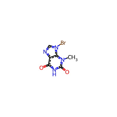 Cn1c(=O)[nH]c(=O)c2ncn(Br)c21